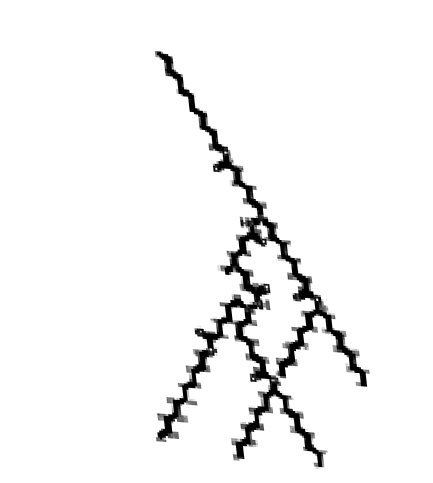 CCCCCCCCCCCOC(=O)CCCCCN(CCCCCCCC(=O)OC(CCCCCCCC)CCCCCCCC)NC(=O)CCCN(C)CCC(=O)NN(CCCCCCC(=O)OC(CCCCCCCC)CCCCCCCC)CCCCCC(=O)OCCCCCCCCCCC